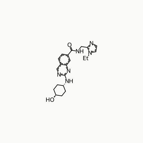 CCn1ccnc1CNC(=O)c1ccc2cnc(N[C@H]3CC[C@H](O)CC3)nc2c1